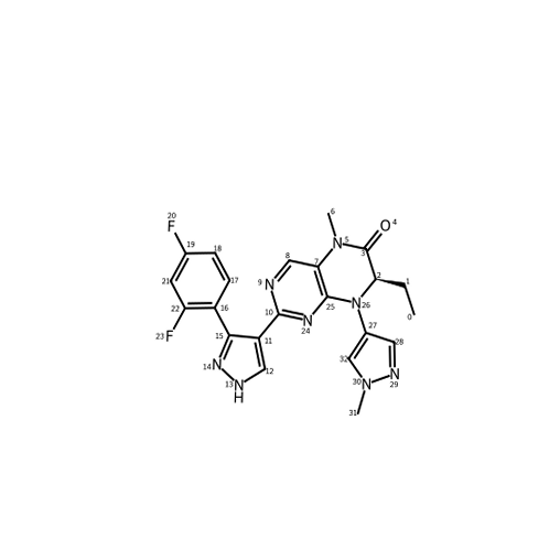 CC[C@@H]1C(=O)N(C)c2cnc(-c3c[nH]nc3-c3ccc(F)cc3F)nc2N1c1cnn(C)c1